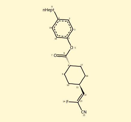 CCCCCCCc1ccc(OC(=O)[C@H]2CC[C@H](C=C(F)C#N)CC2)cc1